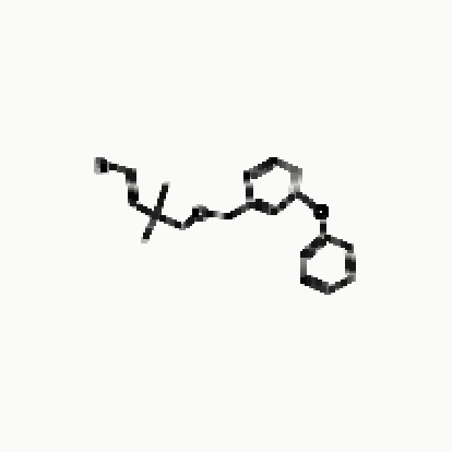 CC(C)(/C=C/Br)COCc1cccc(Oc2ccccc2)c1